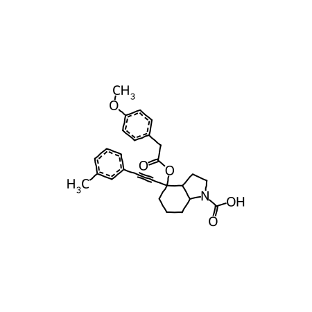 COc1ccc(CC(=O)OC2(C#Cc3cccc(C)c3)CCCC3C2CCN3C(=O)O)cc1